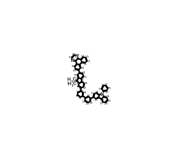 CC1(C)c2cc(-c3cccc(-c4cccc(-c5ccc6c(c5)c5ccccc5n6-c5ccccc5)c4)c3)ccc2-c2ccc(-c3ccc4c(c3)c3ccccc3c3nccnc43)cc21